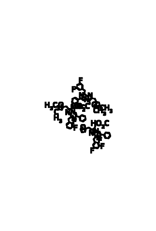 CC(=O)Oc1c(Cc2cc(C)c(C)o2)nc2c(Cc3cccc(F)c3F)nc(-c3ccccc3)cn12.Cc1cc(Cc2nc3c(Cc4cc(F)cc(F)c4)nc(-c4ccccc4)cn3c2CC(=O)O)oc1C.O=C(O)Cc1c(Cc2ccco2)nc2c(Cc3cc(F)cc(F)c3F)nc(-c3ccccc3)cn12